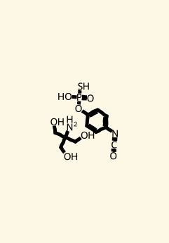 NC(CO)(CO)CO.O=C=Nc1ccc(OP(=O)(O)S)cc1